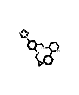 c1ccc(C2NCCCC2NCc2cc(-n3cnnn3)ccc2OCC2CC2)cc1